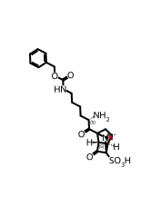 [N-]=[N+]1C2(C(=O)[C@@H](N)CCCCNC(=O)OCc3ccccc3)CC[C@@H]3[C@@H]2C(=O)C31S(=O)(=O)O